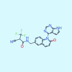 N#CC(C(=O)NCc1ccc2c(ccc(=O)n2-c2ncnc3[nH]ccc23)c1)C(F)(F)F